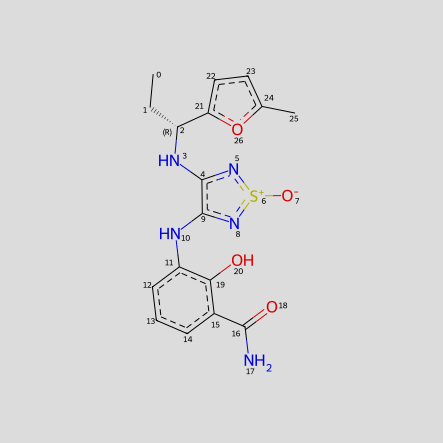 CC[C@@H](Nc1n[s+]([O-])nc1Nc1cccc(C(N)=O)c1O)c1ccc(C)o1